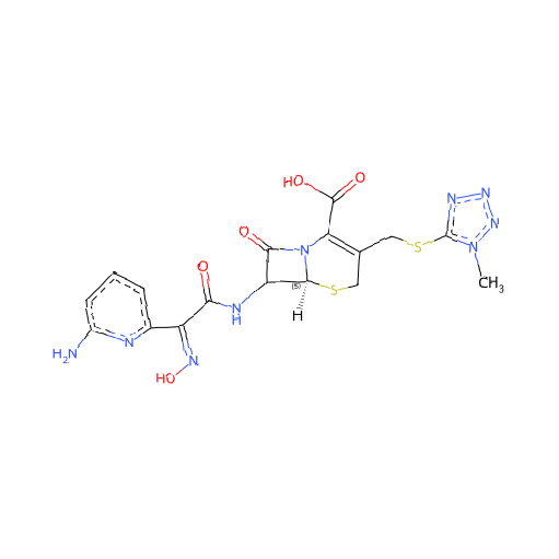 Cn1nnnc1SCC1=C(C(=O)O)N2C(=O)C(NC(=O)C(=NO)c3cccc(N)n3)[C@@H]2SC1